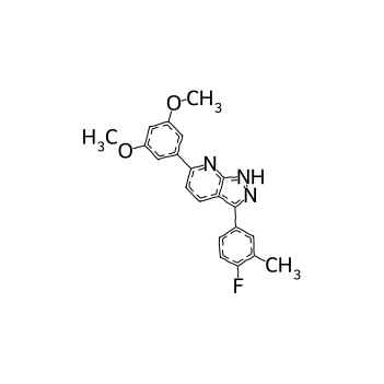 COc1cc(OC)cc(-c2ccc3c(-c4ccc(F)c(C)c4)n[nH]c3n2)c1